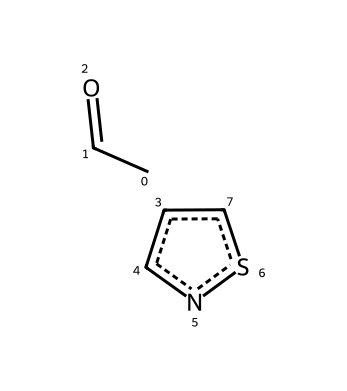 CC=O.c1cnsc1